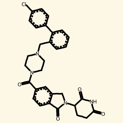 O=C1CCC(N2Cc3cc(C(=O)N4CCN(Cc5ccccc5-c5ccc(Cl)cc5)CC4)ccc3C2=O)C(=O)N1